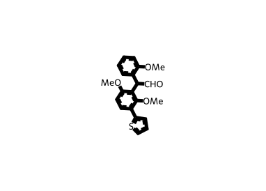 COc1ccccc1C(C=O)c1c(OC)ccc(-c2cccs2)c1OC